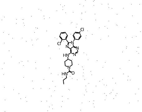 CCCNC(=O)N1CCC(Nc2ncnc3c2nc(-c2ccccc2Cl)n3-c2ccc(Cl)cc2)CC1